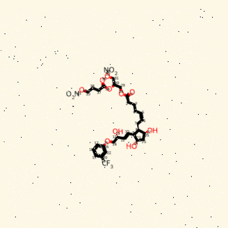 O=C(CCC/C=C\C[C@@H]1C(/C=C/[C@@H](O)COc2cccc(C(F)(F)F)c2)[C@H](O)C[C@@H]1O)OCC(CO[N+](=O)[O-])OC(=O)CCCO[N+](=O)[O-]